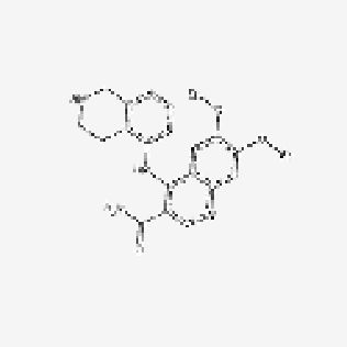 CCOc1cc2ncc(C(N)=O)c(Nc3cccc4c3CCNC4)c2cc1OCC